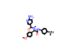 COc1ccc(C(C(=O)Nc2ccc([SiH](C)C)cc2)N(C)C(=O)c2ccc(N)nc2)cc1